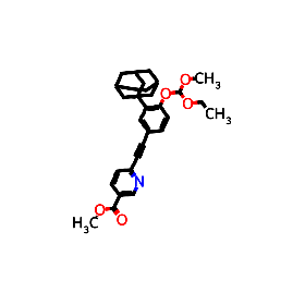 CCOC(OC)Oc1ccc(C#Cc2ccc(C(=O)OC)cn2)cc1C12CC3CC(CC(C3)C1)C2